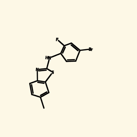 Cc1ccc2nc(Nc3ccc(Br)cc3F)sc2c1